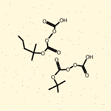 CC(C)(C)OC(=O)OOC(=O)O.CCCC(C)(C)OC(=O)OOC(=O)O